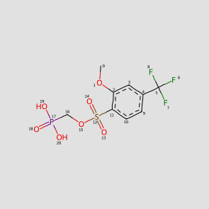 COc1cc(C(F)(F)F)ccc1S(=O)(=O)OCP(=O)(O)O